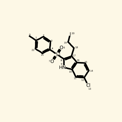 Cc1ccc(S(=O)(=O)c2[nH]c3cc(Cl)ccc3c2CCI)cc1